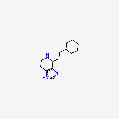 c1nc2c([nH]1)CCNC2CCC1CCCCC1